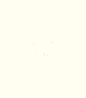 C[Si](C)(C)O[Si](C)(C)C[Si](C)(C)O[Si](C)(C)C